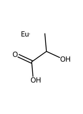 CC(O)C(=O)O.[Eu]